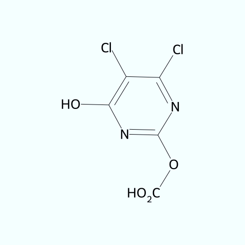 O=C(O)Oc1nc(O)c(Cl)c(Cl)n1